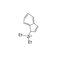 C[CH2][Zr+]([CH2]C)[CH]1C=Cc2ccccc21